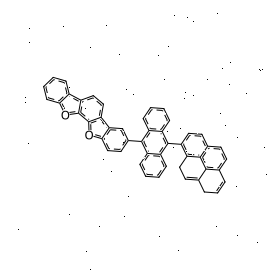 C1=Cc2ccc3ccc(-c4c5ccccc5c(-c5ccc6oc7c(ccc8c9ccccc9oc87)c6c5)c5ccccc45)c4c3c2C(=CC4)C1